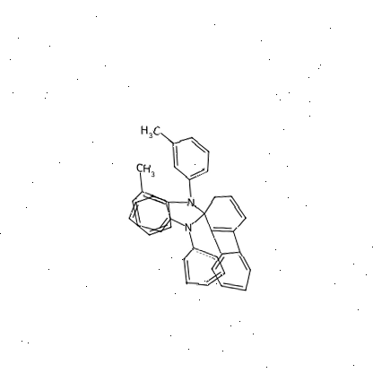 Cc1cccc(N(c2ccccc2)C2(N(c3ccccc3)c3cccc(C)c3)CC=CC3=C2c2ccccc23)c1